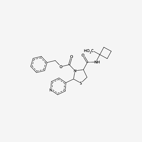 O=C(NC1(C(=O)O)CCC1)C1CSC(c2ccncc2)N1C(=O)OCc1ccccc1